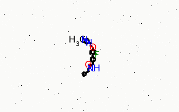 CN1CCN(CCOc2ccc(-c3ccc(CC(=O)NCCC4CCCC4)cc3)c(F)c2)CC1